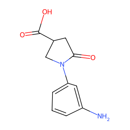 Nc1cccc(N2CC(C(=O)O)CC2=O)c1